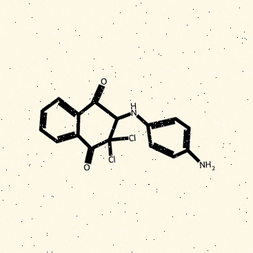 Nc1ccc(NC2C(=O)c3ccccc3C(=O)C2(Cl)Cl)cc1